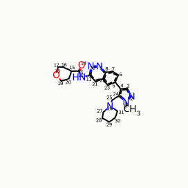 Cn1ncc(-c2ccc3nnc(NC(=O)C4CCOCC4)cc3c2)c1CN1CCCCC1